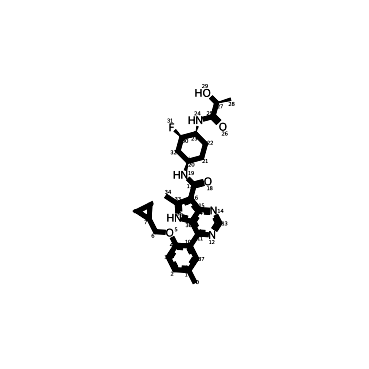 Cc1ccc(OCC2CC2)c(-c2ncnc3c(C(=O)N[C@@H]4CC[C@@H](NC(=O)[C@H](C)O)[C@H](F)C4)c(C)[nH]c23)c1